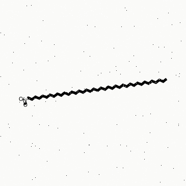 CCCCCCCCCCCCCCCCCCCCCCCCCCCCCCCCCCCCCCC[N+](=O)[O-]